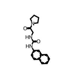 O=C(NCC(=O)N1CCCC1)Nc1ccc2ccccc2c1